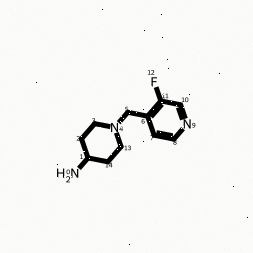 NC1CCN(Cc2ccncc2F)CC1